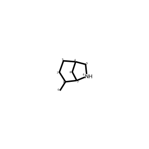 CC1CCC2CNC1C2